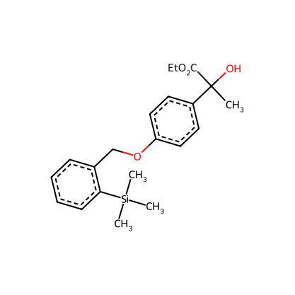 CCOC(=O)C(C)(O)c1ccc(OCc2ccccc2[Si](C)(C)C)cc1